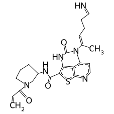 C=CC(=O)N1CCCC(NC(=O)c2sc3nccc4c3c2NC(=O)N4/C(C)=C/CCC=N)C1